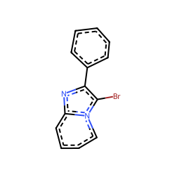 Brc1c(-c2ccccc2)nc2ccccn12